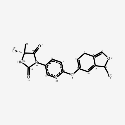 CCC1OC=C2CC=C(Oc3ccc(N4C(=O)N[C@](C)(CC)C4=O)cn3)C=C21